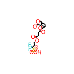 O=C(CCC(=O)OC1C2CC3C(=O)OC1C3C2)OCCC(F)(F)S(=O)(=O)O